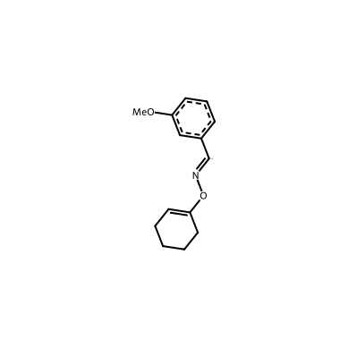 COc1cccc([C]=NOC2=CCCCC2)c1